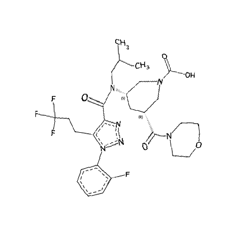 CC(C)CN(C(=O)c1nnn(-c2ccccc2F)c1CCC(F)(F)F)[C@H]1C[C@@H](C(=O)N2CCOCC2)CN(C(=O)O)C1